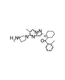 Cc1ccccc1C(=O)C1CCCC[C@H]1c1cc2nc(N3CC[C@H](N)C3)c(C)cn2n1